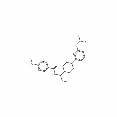 CCC(NC(=O)c1ccc(OC)nc1)C1CCC(c2cccc(OC(F)F)n2)CC1